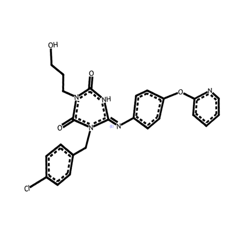 O=c1[nH]/c(=N\c2ccc(Oc3ccccn3)cc2)n(Cc2ccc(Cl)cc2)c(=O)n1CCCO